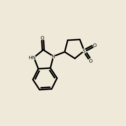 O=c1[nH]c2ccccc2n1C1CCS(=O)(=O)C1